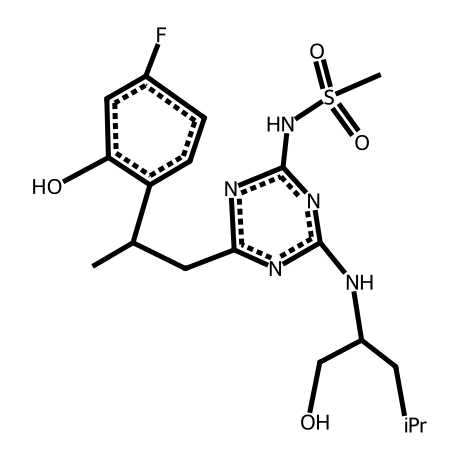 CC(C)CC(CO)Nc1nc(CC(C)c2ccc(F)cc2O)nc(NS(C)(=O)=O)n1